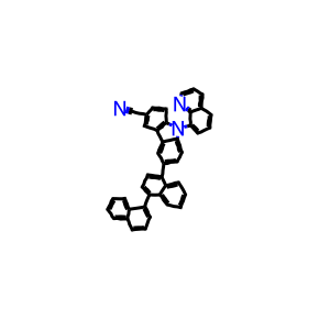 N#Cc1ccc2c(c1)c1cc(-c3ccc(-c4cccc5ccccc45)c4ccccc34)ccc1n2-c1cccc2cccnc12